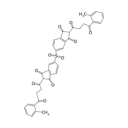 Cc1ccccc1C(=O)CCC(=O)C1C(=O)c2ccc(S(=O)(=O)c3ccc4c(c3)C(=O)C(C(=O)CCC(=O)c3ccccc3C)C4=O)cc2C1=O